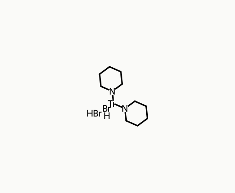 Br.Br.C1CC[N]([Ti][N]2CCCCC2)CC1